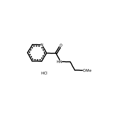 COCCNC(=O)c1ccccn1.Cl